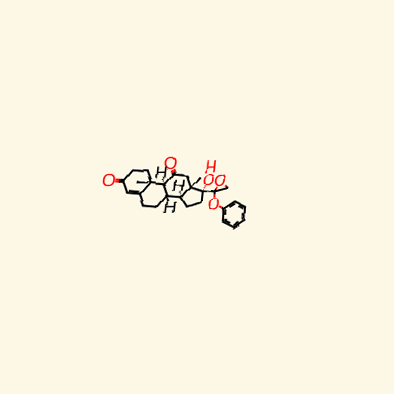 C[C@]12CCC(=O)C=C1CC[C@@H]1[C@@H]2C(=O)C[C@@]2(C)[C@H]1CC[C@]2(O)C1(Oc2ccccc2)CO1